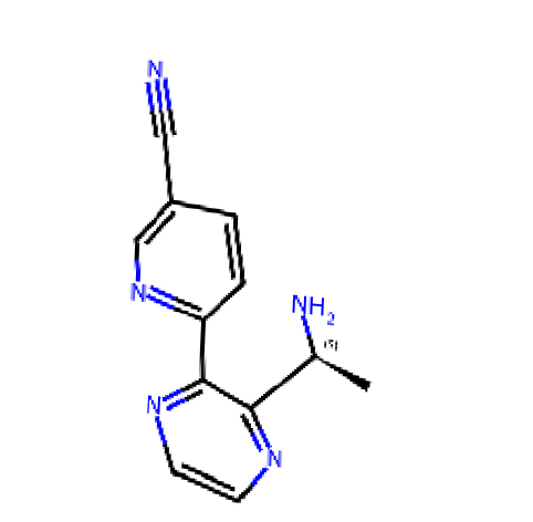 C[C@H](N)c1nccnc1-c1ccc(C#N)cn1